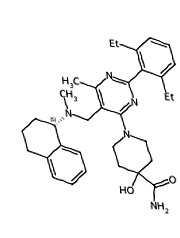 CCc1cccc(CC)c1-c1nc(C)c(CN(C)[C@H]2CCCc3ccccc32)c(N2CCC(O)(C(N)=O)CC2)n1